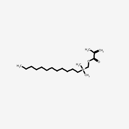 C=C(C)C(=O)OC[N+](C)(C)CCCCCCCCCCCC